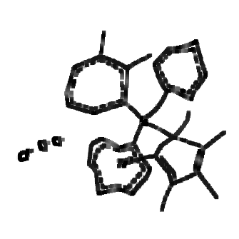 CC1=C(C)C(C)([Si](c2ccccc2)(c2ccccc2)c2cccc(C)c2C)[C]([Ti+3])=C1C.[Cl-].[Cl-].[Cl-]